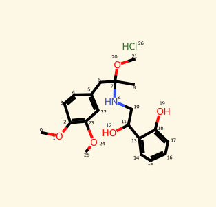 COc1ccc(CC(C)(NCC(O)c2ccccc2O)OC)cc1OC.Cl